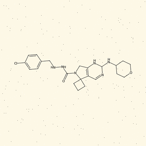 O=C(NNCc1ccc(Cl)cc1)N1CC2=C(C=NC(NC3CCOCC3)N2)C12CCC2